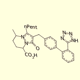 CCCCCc1c(Cc2ccc(-c3ccccc3-c3nnn[nH]3)cc2)c(=O)n2n1C(C)CCC2C(=O)O